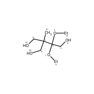 CCOC(CO)(OCC)C(C)(CO)CO